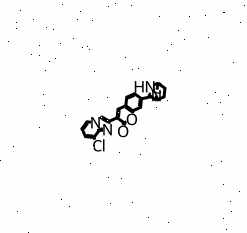 O=c1oc2cc(N3CC4CCC3CN4)ccc2cc1-c1cn2cccc(Cl)c2n1